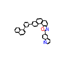 c1cc(-c2ccc3c(ccc4ccc5nc(-c6ccc7ncccc7c6)oc5c43)c2)cc(-c2cccc3ccccc23)c1